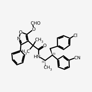 C[C@H](NC(=O)C(C)(C)c1c(-c2ccccc2)noc1OC=O)[C@@H](Cc1ccc(Cl)cc1)c1cccc(C#N)c1